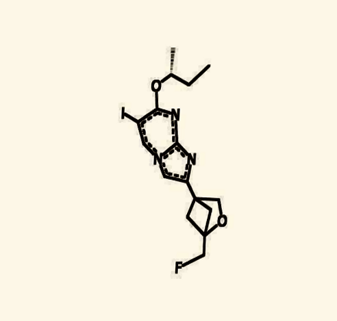 CC[C@@H](C)Oc1nc2nc(C34COC(CF)(C3)C4)cn2cc1I